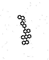 c1ccc2c(-c3c4ccccc4c(-c4ccc(-c5ccc6c(ccc7c6sc6ccc8ccccc8c67)c5)c5ccccc45)c4ccccc34)cccc2c1